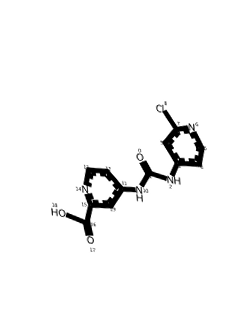 O=C(Nc1ccnc(Cl)c1)Nc1ccnc(C(=O)O)c1